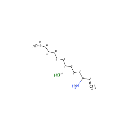 C=CC(N)CCCCCCCCCCCCCCCCC.Cl